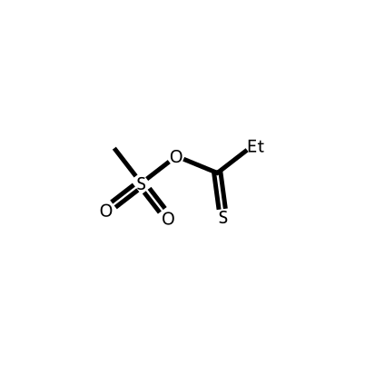 [CH2]CC(=S)OS(C)(=O)=O